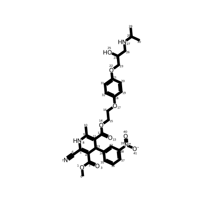 COC(=O)C1=C(C#N)NC(C)=C(C(=O)OCCOc2ccc(OCC(O)CNC(C)C)cc2)C1c1cccc([N+](=O)[O-])c1